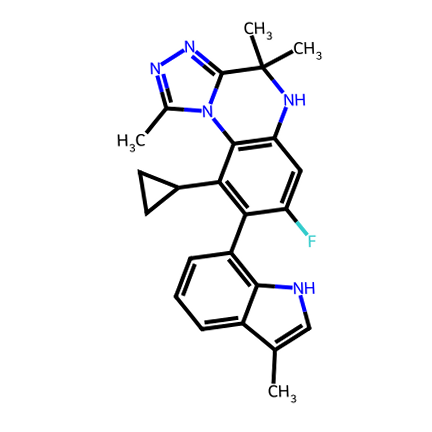 Cc1c[nH]c2c(-c3c(F)cc4c(c3C3CC3)-n3c(C)nnc3C(C)(C)N4)cccc12